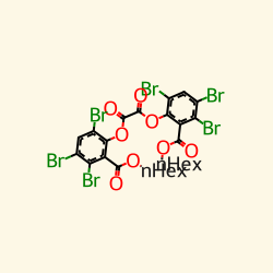 CCCCCCOC(=O)c1c(Br)c(Br)cc(Br)c1OC(=O)C(=O)Oc1c(Br)cc(Br)c(Br)c1C(=O)OCCCCCC